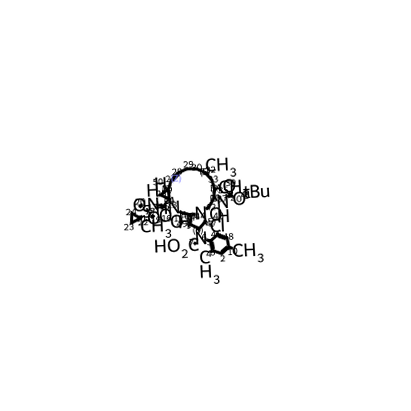 Cc1cc(C)c(N(C(=O)O)[C@@H]2C[C@H]3C(=O)N[C@]4(C(=O)NS(=O)(=O)C5(C)CC5)C[C@H]4/C=C\CC[C@H](C)C[C@@H](C)[C@H](NC(=O)OC(C)(C)C)C(=O)N3C2)c(Cl)c1